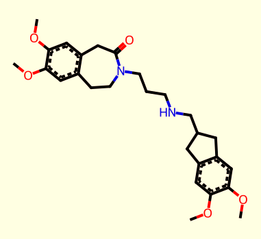 COc1cc2c(cc1OC)CC(=O)N(CCCNCC1Cc3cc(OC)c(OC)cc3C1)CC2